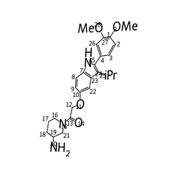 COc1ccc(-c2[nH]c3ccc(OCC(=O)N4CCCC(N)C4)cc3c2C(C)C)cc1OC